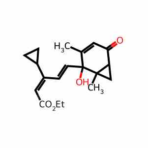 CCOC(=O)/C=C(\C=C\C1(O)C(C)=CC(=O)C2CC21C)C1CC1